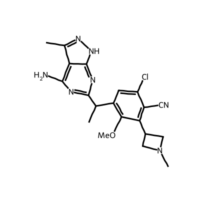 COc1c(C(C)c2nc(N)c3c(C)n[nH]c3n2)cc(Cl)c(C#N)c1C1CN(C)C1